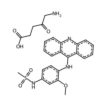 COc1cc(NS(C)(=O)=O)ccc1Nc1c2ccccc2nc2ccccc12.NCC(=O)CCC(=O)O